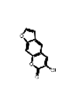 O=c1oc2cc3occc3cc2cc1O